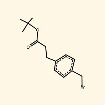 CC(C)(C)OC(=O)CCc1ccc(CBr)cc1